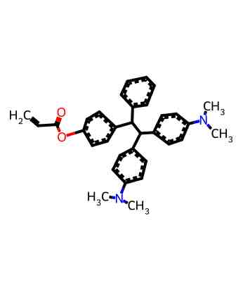 C=CC(=O)Oc1ccc(C(c2ccccc2)C(c2ccc(N(C)C)cc2)c2ccc(N(C)C)cc2)cc1